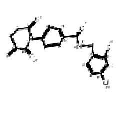 C=C1CCC(=O)N(c2ccc(C(=O)NCc3ccc(Cl)cc3Cl)cc2)C1=O